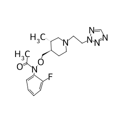 CC(=O)N(OC[C@@H]1CCN(CCn2ncnn2)C[C@H]1C)c1ccccc1F